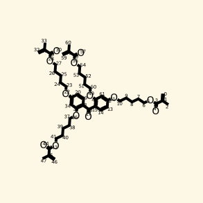 C=C(C)C(=O)OCCCCCOc1ccc(C(=O)c2ccc(OCCCCCOC(=O)C(=C)C)cc2OCCCCCOC(=O)C(=C)C)c(OCCCCCOC(=O)C(=C)C)c1